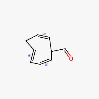 O=CC1/C=C\C=C\C/C=C\1